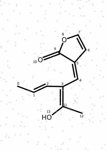 C/C=C/C(/C=C1/C=COC1=O)=C(/C)O